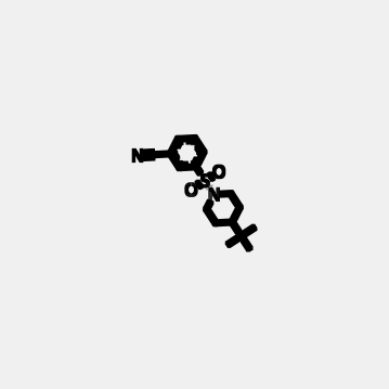 CC(C)(C)C1CCN(S(=O)(=O)c2cccc(C#N)c2)CC1